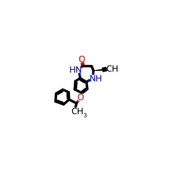 C#C[C@@H]1CC(=O)Nc2ccc(OC(C)c3ccccc3)cc2N1